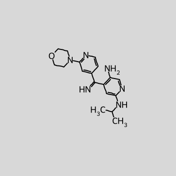 CC(C)Nc1cc(C(=N)c2ccnc(N3CCOCC3)c2)c(N)cn1